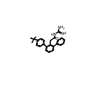 CC(C)(C)c1ccc(-c2cccc(-c3ccccc3)c2CC(=O)NC(=N)N)cc1